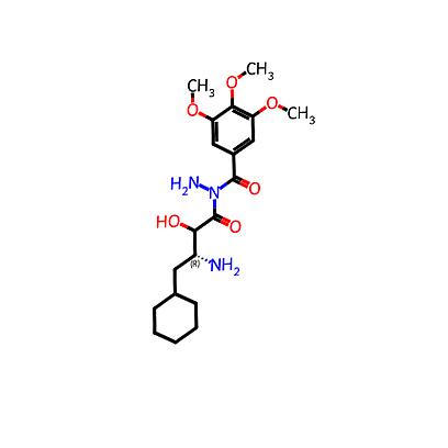 COc1cc(C(=O)N(N)C(=O)C(O)[C@H](N)CC2CCCCC2)cc(OC)c1OC